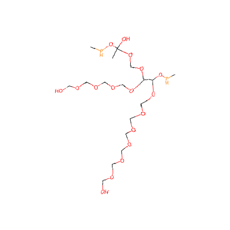 CPOC(OCOCOCOCOCOCO)C(OCOCOCOCO)OCOC(C)(O)OPC